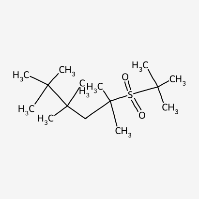 CC(C)(C)C(C)(C)CC(C)(C)S(=O)(=O)C(C)(C)C